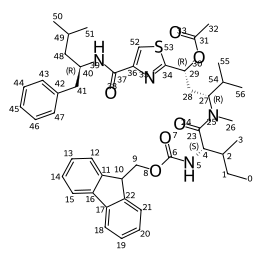 CCC(C)[C@H](NC(=O)OCC1c2ccccc2-c2ccccc21)C(=O)N(C)[C@H](C[C@@H](OC(C)=O)c1nc(C(=O)N[C@@H](Cc2ccccc2)CC(C)C)cs1)C(C)C